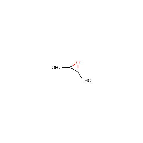 O=CC1OC1C=O